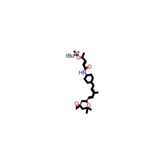 CC(C=C[C@@H]1C[C@]2(CO2)CC(C)(C)O1)=CCC1CCC(NC(=O)C=CC(C)O[Si](C)(C)C(C)(C)C)CC1